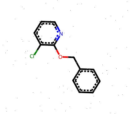 Clc1c[c]cnc1OCc1ccccc1